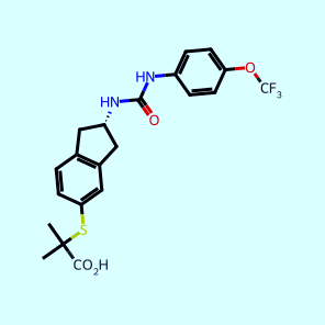 CC(C)(Sc1ccc2c(c1)C[C@@H](NC(=O)Nc1ccc(OC(F)(F)F)cc1)C2)C(=O)O